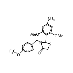 COc1cc(C)cc(OC)c1C1SCC(=O)N1Cc1ccc(OC(F)(F)F)cc1